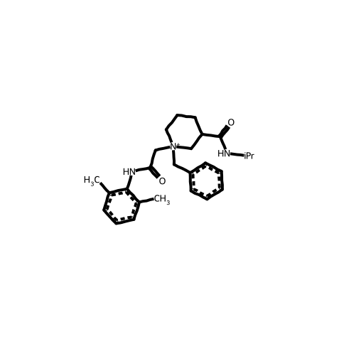 Cc1cccc(C)c1NC(=O)C[N+]1(Cc2ccccc2)CCCC(C(=O)NC(C)C)C1